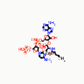 C=CCCC(=O)NC(COC)C(=O)O[C@H]1[C@@H](O)[C@H](n2cnc3c(N)ncnc32)O[C@@H]1COP(=O)(O)O[C@H]1[C@@H](O)[C@H](n2ccc(N)nc2=O)O[C@@H]1COP(=O)(O)O